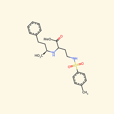 COC(=O)C(CCNS(=O)(=O)c1ccc(C)cc1)N[C@H](CCc1ccccc1)C(=O)O